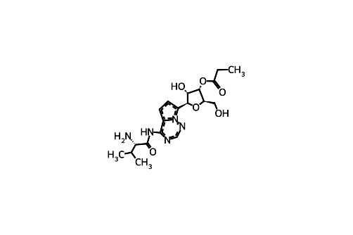 CCC(=O)O[C@H]1[C@@H](O)[C@H](c2ccc3c(NC(=O)[C@@H](N)C(C)C)ncnn23)O[C@@H]1CO